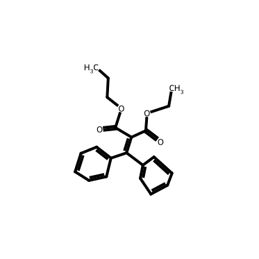 CCCOC(=O)C(C(=O)OCC)=C(c1ccccc1)c1ccccc1